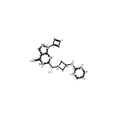 C[C@H](c1nc2c(cnn2C2=CC=C2)c(=O)[nH]1)N1CC(Oc2ncccn2)C1